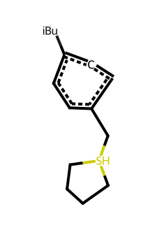 CCC(C)c1ccc(C[SH]2CCCC2)cc1